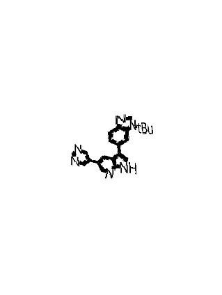 CC(C)(C)n1cnc2ccc(-c3c[nH]c4ncc(-c5cncnc5)cc34)cc21